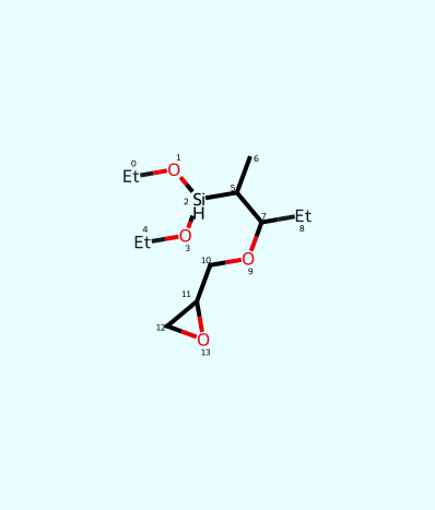 CCO[SiH](OCC)C(C)C(CC)OCC1CO1